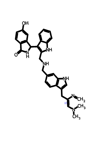 C=N/C(=C\N(C)C)Cc1c[nH]c2cc(CNCc3[nH]c4ccccc4c3C3NC(=O)c4ccc(O)cc43)ccc12